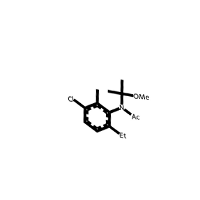 CCc1ccc(Cl)c(C)c1N(C(C)=O)C(C)(C)OC